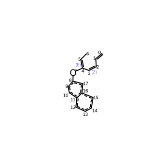 C=C/C=C\C(=C/C)Oc1ccc2ccccc2c1